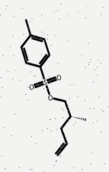 C=CC[C@@H](C)COS(=O)(=O)c1ccc(C)cc1